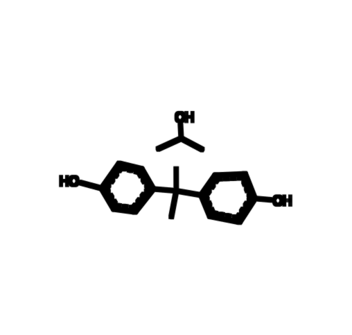 CC(C)(c1ccc(O)cc1)c1ccc(O)cc1.CC(C)O